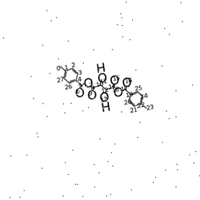 Cc1ccc(C(=O)OC(=O)[C@H](O)[C@@H](O)C(=O)OC(=O)c2ccc(C)cc2)cc1